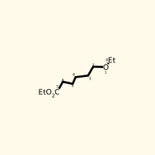 CCOCCCCCC(=O)OCC